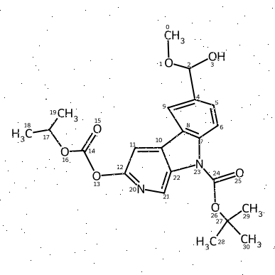 COC(O)c1ccc2c(c1)c1cc(OC(=O)OC(C)C)ncc1n2C(=O)OC(C)(C)C